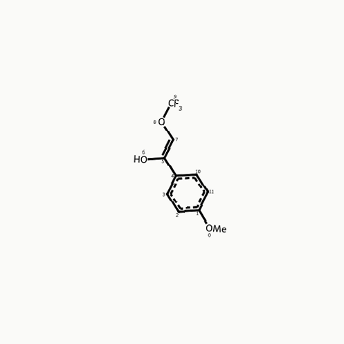 COc1ccc(C(O)=COC(F)(F)F)cc1